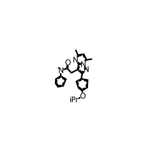 Cc1cc(C)n2nc(-c3ccc(OC(C)C)cc3)c(CC(=O)N(C)c3ccccc3)c2n1